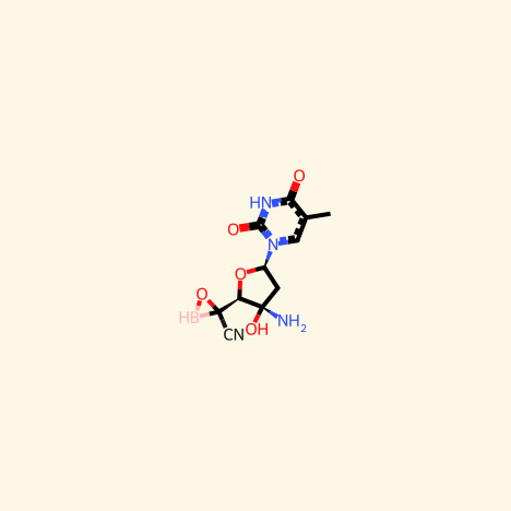 Cc1cn([C@H]2C[C@](N)(O)[C@@H](C3(C#N)BO3)O2)c(=O)[nH]c1=O